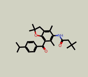 Cc1c2c(c(C(=O)c3ccc(C(C)C)cc3)c(C)c1NC(=O)CC(C)(C)C)OC(C)(C)C2